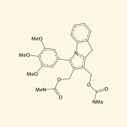 CNC(=O)OCc1c(COC(=O)NC)c(-c2cc(OC)c(OC)c(OC)c2)n2c1Cc1ccccc1-2